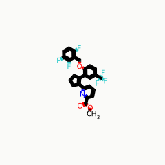 COC(=O)c1cccc(C2=C(c3cc(C(F)(F)F)ccc3OCc3c(F)ccc(F)c3F)CCC2)n1